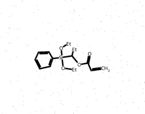 C=CC(=O)OC(CC)[Si](OCC)(OCC)c1ccccc1